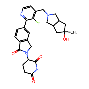 CC1(O)CC2CN(Cc3ccnc(-c4ccc5c(c4)CN(C4CCC(=O)NC4=O)C5=O)c3F)CC2C1